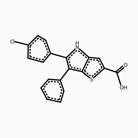 O=C(O)c1cc2[nH]c(-c3ccc(Cl)cc3)c(-c3ccccc3)c2s1